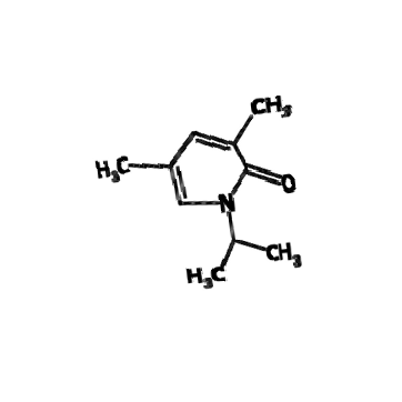 Cc1cc(C)c(=O)n(C(C)C)c1